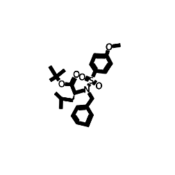 COc1ccc(S(=O)(=O)N(Cc2ccccc2)[C@H](CC(C)C)C(=O)OC(C)(C)C)cc1